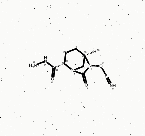 N=BON1C(=O)N2C[C@H]1CC[C@H]2C(=O)NN